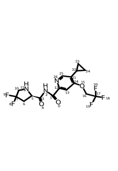 O=C(NC(=O)[C@H]1CC(F)(F)CN1)c1cc(OCC(F)(F)F)c(C2CC2)cn1